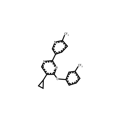 FC(F)(F)c1cccc(Oc2nc(-c3ccc(C(F)(F)F)nc3)ncc2C2CC2)c1